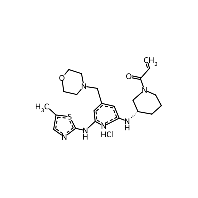 C=CC(=O)N1CCC[C@H](Nc2cc(CN3CCOCC3)cc(Nc3ncc(C)s3)n2)C1.Cl